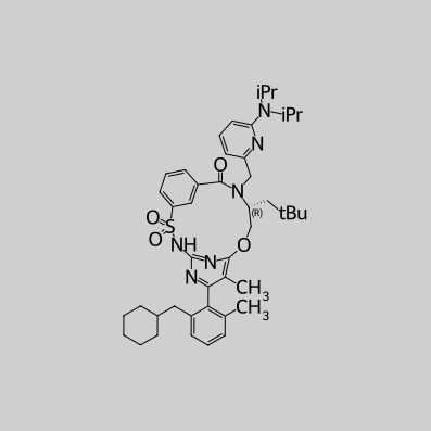 Cc1cccc(CC2CCCCC2)c1-c1nc2nc(c1C)OC[C@@H](CC(C)(C)C)N(Cc1cccc(N(C(C)C)C(C)C)n1)C(=O)c1cccc(c1)S(=O)(=O)N2